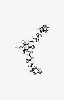 Cn1c(=O)n(CCCC(=O)OCC2CC3CC24CC3O4)c(=O)n(CCCC(=O)OC[C@H]2CC3CC2C2OC32)c1=O